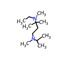 CCN(C)C(C)(C)CCN(C)C(C)C